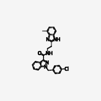 Cc1cccc2[nH]c(CCNC(=O)c3nn(Cc4ccc(Cl)cc4)c4ccccc34)nc12